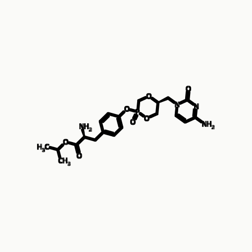 CC(C)OC(=O)[C@@H](N)Cc1ccc(OP2(=O)CO[C@@H](Cn3ccc(N)nc3=O)CO2)cc1